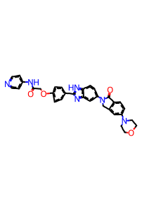 O=C(COc1ccc(-c2nc3cc(N4Cc5cc(N6CCOCC6)ccc5C4=O)ccc3[nH]2)cc1)Nc1ccncc1